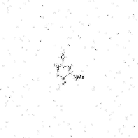 C=C1C=NC(=O)N=C1NC